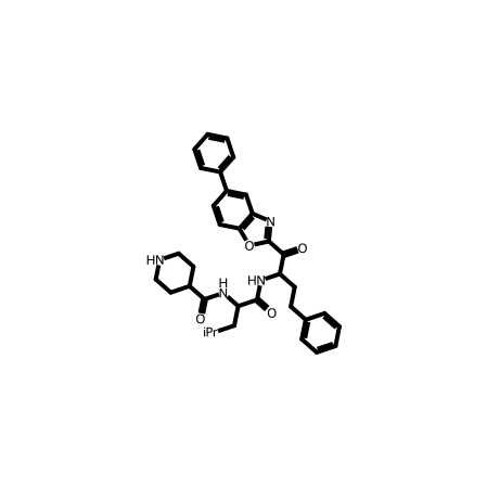 CC(C)CC(NC(=O)C1CCNCC1)C(=O)NC(CCc1ccccc1)C(=O)c1nc2cc(-c3ccccc3)ccc2o1